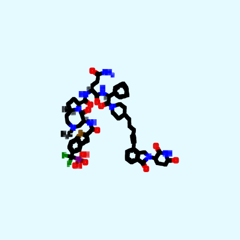 CN1CC[C@H]2CC[C@@H](C(=O)N[C@@H](CCC(N)=O)C(=O)N[C@H](C(=O)N3CCC(CCCC#Cc4cccc5c4CN(C4CCC(=O)NC4=O)C5=O)CC3)c3ccccc3)N2C(=O)[C@@H](NC(=O)c2cc3cc(C(F)(F)P(=O)(O)O)ccc3s2)C1